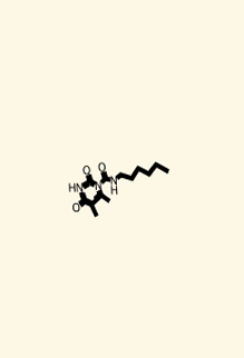 CCCCCCNC(=O)n1c(C)c(C)c(=O)[nH]c1=O